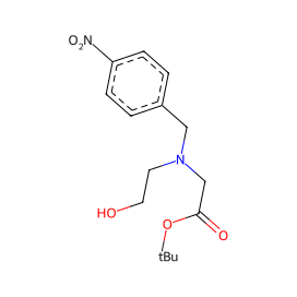 CC(C)(C)OC(=O)CN(CCO)Cc1ccc([N+](=O)[O-])cc1